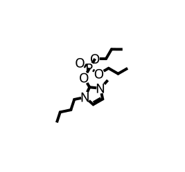 CCCCN1C=CN(C)C1OP(=O)(OCCC)OCCC